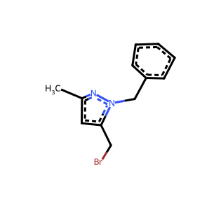 Cc1cc(CBr)n(Cc2ccccc2)n1